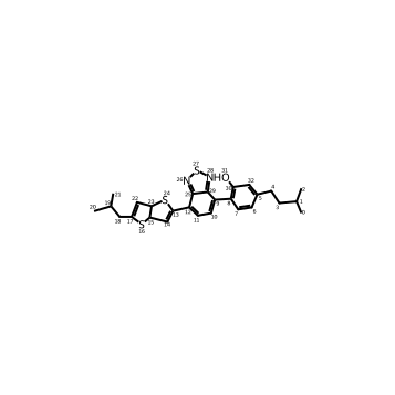 CC(C)CCc1ccc(-c2ccc(C3=CC4SC(CC(C)C)=CC4S3)c3nsnc23)c(O)c1